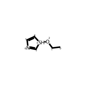 CCO[SH]1C=CN=C1